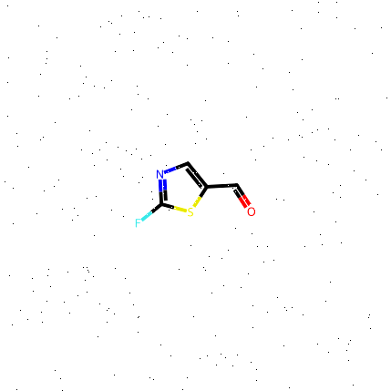 O=Cc1cnc(F)s1